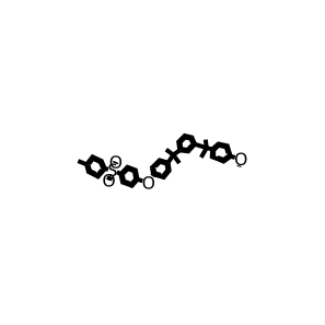 COc1ccc(C(C)(C)c2cccc(C(C)(C)c3ccc(Oc4ccc(S(=O)(=O)c5ccc(C)cc5)cc4)cc3)c2)cc1